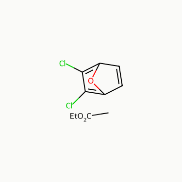 CCOC(C)=O.Clc1c(Cl)c2ccc1o2